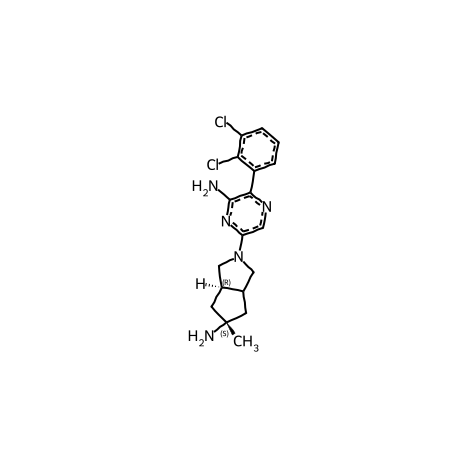 C[C@]1(N)CC2CN(c3cnc(-c4cccc(Cl)c4Cl)c(N)n3)C[C@@H]2C1